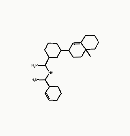 CC12CCCCC1=CC(C1CCCC(C(N)NC(N)C3C=CCCC3)C1)CC2